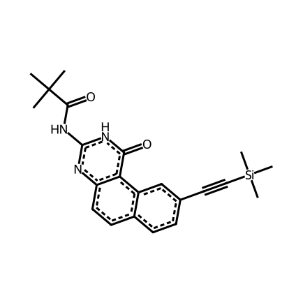 CC(C)(C)C(=O)Nc1nc2ccc3ccc(C#C[Si](C)(C)C)cc3c2c(=O)[nH]1